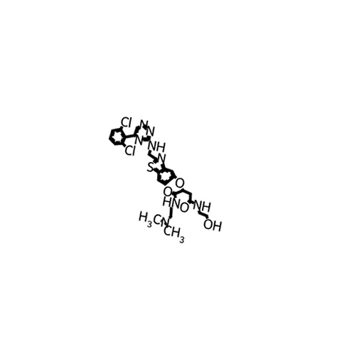 CN(C)CCNC(=O)C(CC(=O)NCCO)Oc1ccc2sc(CNc3nncc(-c4c(Cl)cccc4Cl)n3)nc2c1